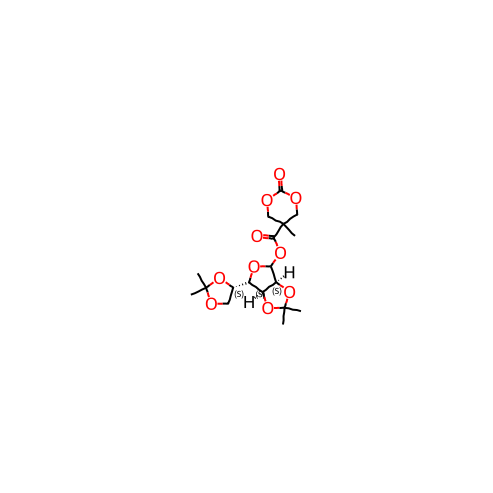 CC1(C)OC[C@@H](C2OC(OC(=O)C3(C)COC(=O)OC3)[C@H]3OC(C)(C)O[C@@H]23)O1